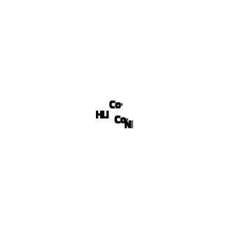 [Co].[Co].[LiH].[Ni]